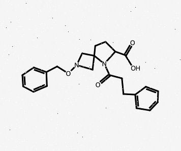 O=C(O)C1CCC2(CN(OCc3ccccc3)C2)N1C(=O)CCc1ccccc1